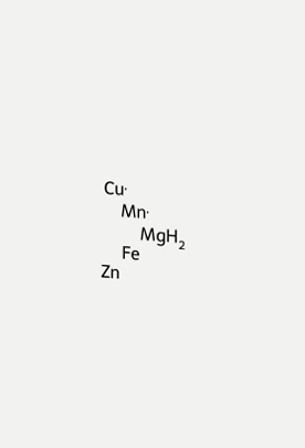 [Cu].[Fe].[MgH2].[Mn].[Zn]